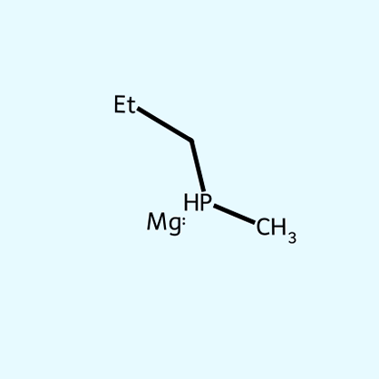 CCCPC.[Mg]